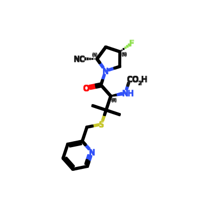 CC(C)(SCc1ccccn1)[C@H](NC(=O)O)C(=O)N1C[C@@H](F)C[C@H]1C#N